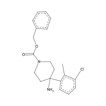 Cc1c(Cl)cccc1C1(N)CCN(C(=O)OCc2ccccc2)CC1